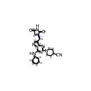 N#CC1CCN(c2nc(Nc3ccccc3)n3ncc(/C=C4\CC(=O)NC4=O)c3n2)CC1